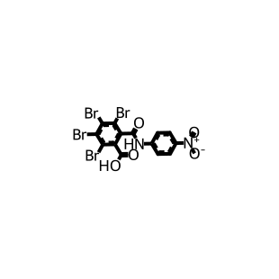 O=C(O)c1c(Br)c(Br)c(Br)c(Br)c1C(=O)Nc1ccc([N+](=O)[O-])cc1